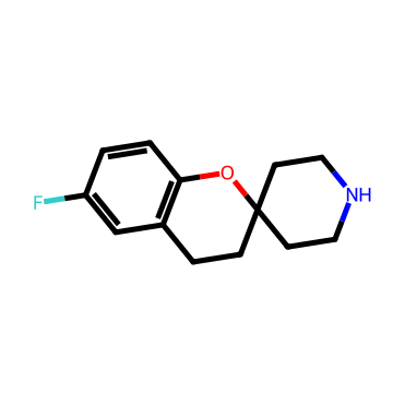 Fc1ccc2c(c1)CCC1(CCNCC1)O2